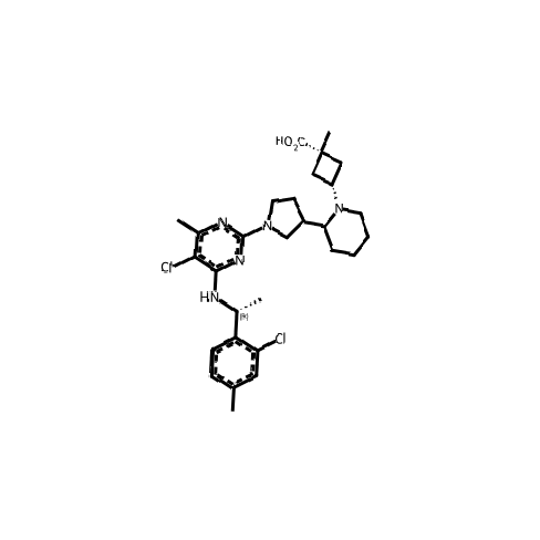 Cc1ccc([C@@H](C)Nc2nc(N3CCC(C4CCCCN4[C@H]4C[C@@](C)(C(=O)O)C4)C3)nc(C)c2Cl)c(Cl)c1